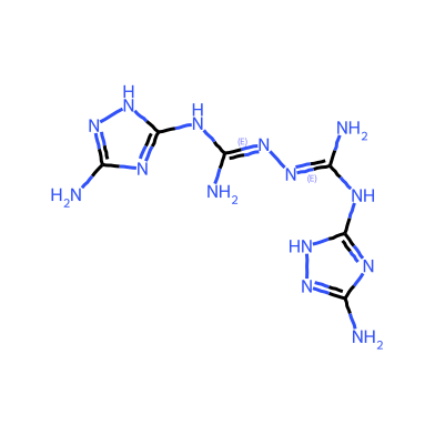 N/C(=N\N=C(/N)Nc1nc(N)n[nH]1)Nc1nc(N)n[nH]1